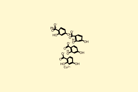 O=C([O-])c1ccc(O)cc1O.O=C([O-])c1ccc(O)cc1O.O=C([O-])c1ccc(O)cc1O.O=C([O-])c1ccc(O)cc1O.[Cu+2].[Pb+2]